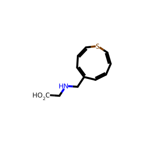 O=C(O)CNCc1ccccsccc1